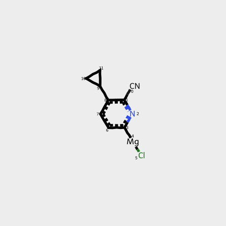 N#Cc1n[c]([Mg][Cl])ccc1C1CC1